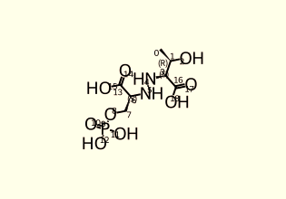 C[C@@H](O)[C@H](NN[C@@H](COP(=O)(O)O)C(=O)O)C(=O)O